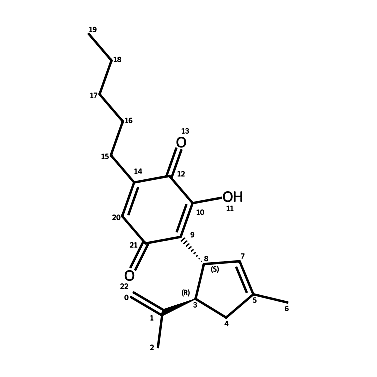 C=C(C)[C@@H]1CC(C)=C[C@H]1C1=C(O)C(=O)C(CCCCC)=CC1=O